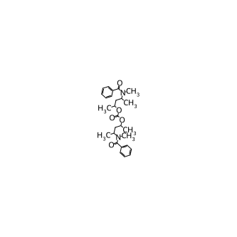 CC(CC(C)N(C)C(=O)c1ccccc1)OC(=O)OC(C)CC(C)N(C)C(=O)c1ccccc1